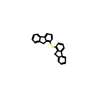 c1ccc2c(c1)Cc1c(Sc3cccc4c3Cc3ccccc3-4)cccc1-2